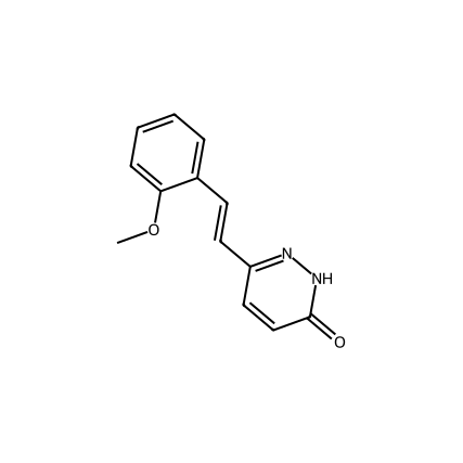 COc1ccccc1C=Cc1ccc(=O)[nH]n1